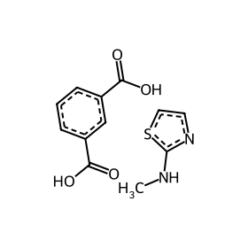 CNc1nccs1.O=C(O)c1cccc(C(=O)O)c1